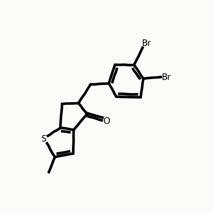 Cc1cc2c(s1)CC(Cc1ccc(Br)c(Br)c1)C2=O